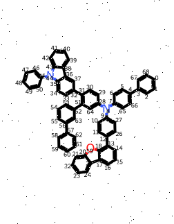 c1ccc(-c2ccc(N(c3ccc(-c4cccc5c4oc4ccccc45)cc3)c3ccc(-c4ccc5c(c4)c4ccccc4n5-c4ccccc4)c(-c4cccc(-c5ccccc5)c4)c3)cc2)cc1